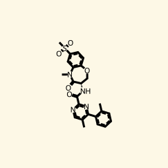 Cc1ccccc1-c1nc(C(=O)N[C@H]2COc3ccc(S(C)(=O)=O)cc3N(C)C2=O)ncc1C